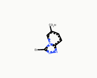 CCc1nnc2ccc(C(=O)O)cn12